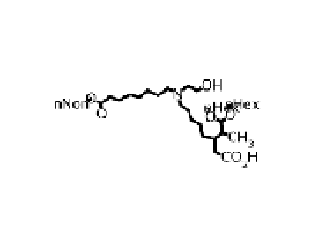 CCCCCCCCCOC(=O)CCCCCCCN(CCO)CCCCCC(CC(=O)O)C(C)C(OCCCCCC)OCCCCCC